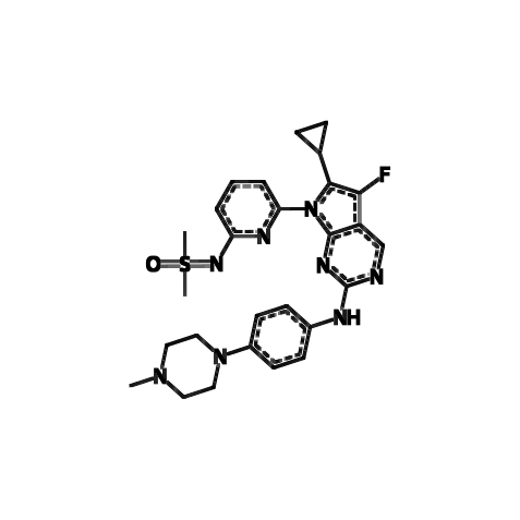 CN1CCN(c2ccc(Nc3ncc4c(F)c(C5CC5)n(-c5cccc(N=S(C)(C)=O)n5)c4n3)cc2)CC1